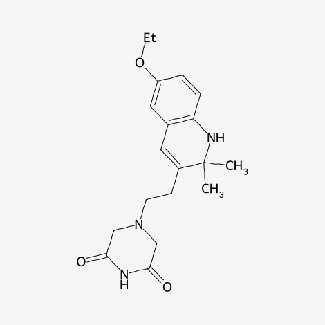 CCOc1ccc2c(c1)C=C(CCN1CC(=O)NC(=O)C1)C(C)(C)N2